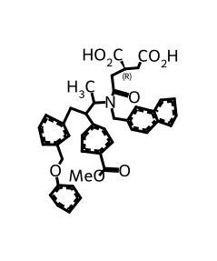 COC(=O)c1ccc(C(Cc2cccc(COc3ccccc3)c2)C(C)N(Cc2ccc3ccccc3c2)C(=O)C[C@H](CC(=O)O)C(=O)O)cc1